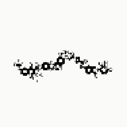 COc1cc2c(Oc3ccc(NC(=O)c4c(C)n(C)c5ccc(OC(F)(F)F)cc5c4=O)cc3F)ncnc2cc1OCC(=O)N1CC(C(=O)Nc2ccc3c(c2)CN(C2CCC(=O)NC2=O)C3=O)C1